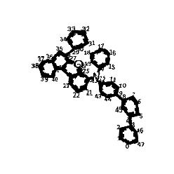 c1ccc(-c2cccc(-c3ccc(N(c4ccccc4)c4cccc5c4oc4c(-c6ccccc6)cc6ccccc6c45)cc3)c2)cc1